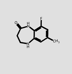 Cc1cc(F)c2c(c1)NCCC(=O)N2